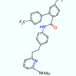 CC(=O)Nc1cccc(CCc2ccc(NC(=O)c3ccc(C)cc3-c3ccc(C(F)(F)F)cc3)cc2)n1